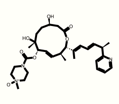 C/C(=C\C=C\[C@@H](C)c1ccccn1)[C@H]1OC(=O)C[C@H](O)CC[C@@](C)(O)[C@@H](OC(=O)N2CC[N+](C)([O-])CC2)/C=C/[C@@H]1C